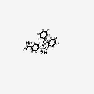 [NH]C(=O)c1ccc(S(=O)(=O)Nc2ccccc2Oc2ccccc2)cc1